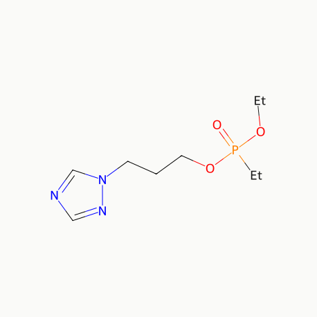 CCOP(=O)(CC)OCCCn1cncn1